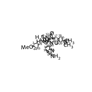 COc1ccc(CNC(=O)N(C)N2CC(=O)N3[C@@H](Cc4ccc(N(C)C)cc4)C(=O)N(Cc4cccc5sc(N)nc45)C[C@@H]32)cc1